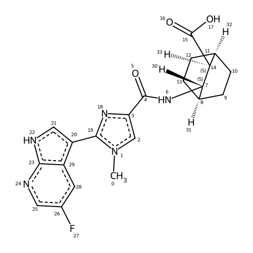 Cn1cc(C(=O)N[C@H]2[C@H]3CC[C@H](CC3)[C@@H]2C(=O)O)nc1-c1c[nH]c2ncc(F)cc12